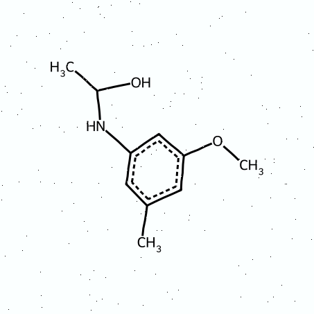 COc1cc(C)cc(NC(C)O)c1